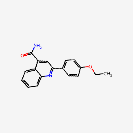 CCOc1ccc(-c2cc(C(N)=O)c3ccccc3n2)cc1